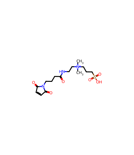 C[N+](C)(CCCS(=O)(=O)O)CCNC(=O)CCCN1C(=O)C=CC1=O